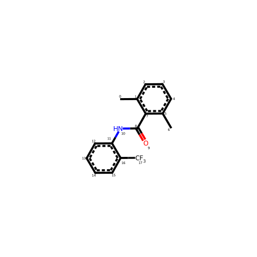 Cc1cccc(C)c1C(=O)Nc1ccccc1C(F)(F)F